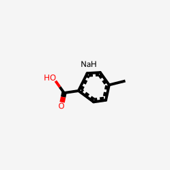 Cc1ccc(C(=O)O)cc1.[NaH]